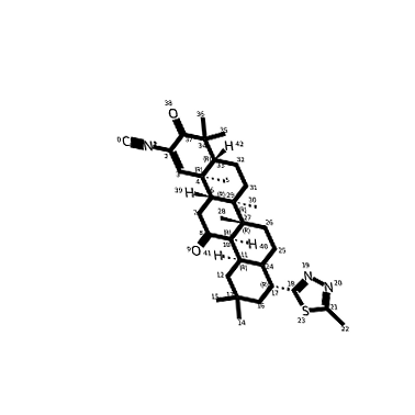 [C-]#[N+]C1=C[C@]2(C)[C@H]3CC(=O)[C@@H]4[C@@H]5CC(C)(C)C[C@@H](c6nnc(C)s6)C5CC[C@@]4(C)[C@]3(C)CC[C@H]2C(C)(C)C1=O